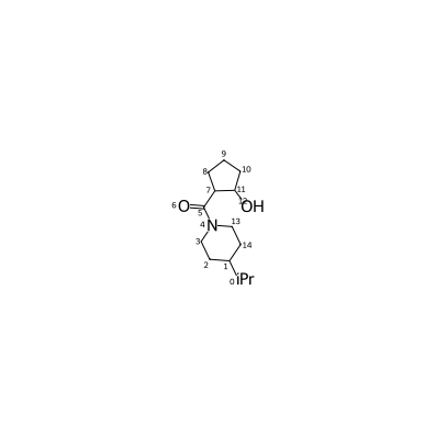 CC(C)C1CCN(C(=O)C2CCCC2O)CC1